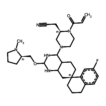 C=CC(=O)N1CCN(C2NC(OC[C@H]3CCCN3C)NC3C[C@@]4(CCCc5ccc(F)cc54)CCC32)C[C@H]1CC#N